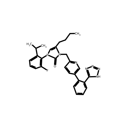 CCCCc1cn(-c2c(F)cccc2C(C)C)c(=O)n1Cc1ccc(-c2ccccc2-c2nnn[nH]2)cn1